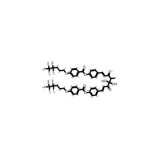 CC(C(=O)/C=C/c1ccc(OC(=O)c2ccc(OCCCC(F)(F)C(F)(F)F)cc2)cc1)C(O)(O)C(=O)/C=C/c1ccc(OC(=O)c2ccc(OCCCC(F)(F)C(F)(F)F)cc2)cc1